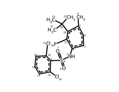 Cc1ccc(NS(=O)(=O)c2c(Cl)cccc2Cl)c(F)c1C(C)(C)C